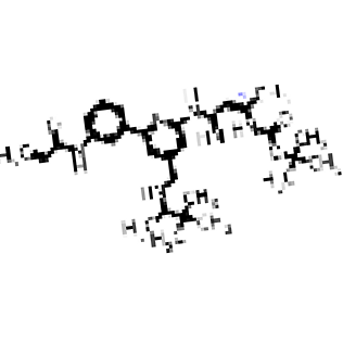 C=CC(=O)Nc1cccc(-c2cc(CNC(C)C(C)(C)C)cc(NC(=N)/C=C(/C)NC(=O)OC(C)(C)C)n2)c1